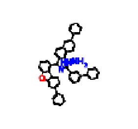 NN/C(=N\C(c1ccc2cc(-c3ccccc3)ccc2c1)c1cccc2oc3cc(-c4ccccc4)ccc3c12)c1cccc(-c2ccccc2)c1